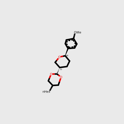 CCCCCCC1COC([C@H]2CC[C@H](c3ccc(OC)cc3)OC2)OC1